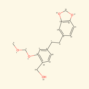 COCOc1cc(CCc2ccc3c(c2)OCO3)ccc1CO